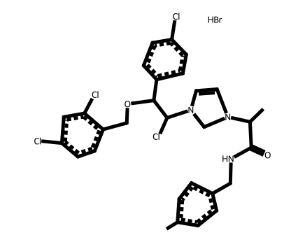 Br.Cc1ccc(CNC(=O)C(C)N2C=CN(C(Cl)C(OCc3ccc(Cl)cc3Cl)c3ccc(Cl)cc3)C2)cc1